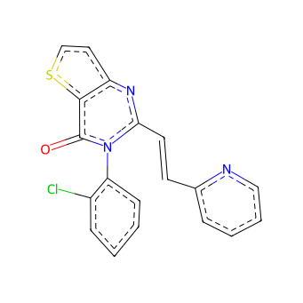 O=c1c2sccc2nc(C=Cc2ccccn2)n1-c1ccccc1Cl